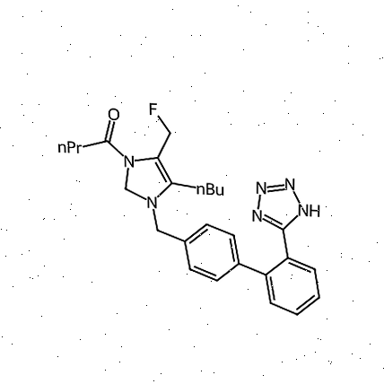 CCCCC1=C(CF)N(C(=O)CCC)CN1Cc1ccc(-c2ccccc2-c2nnn[nH]2)cc1